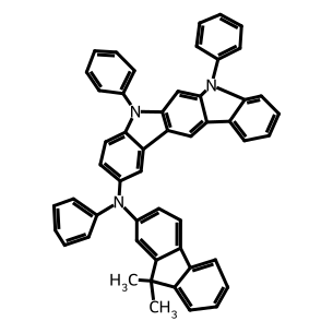 CC1(C)c2ccccc2-c2ccc(N(c3ccccc3)c3ccc4c(c3)c3cc5c6ccccc6n(-c6ccccc6)c5cc3n4-c3ccccc3)cc21